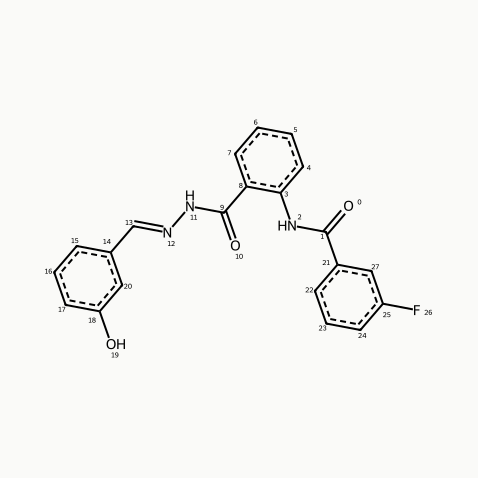 O=C(Nc1ccccc1C(=O)NN=Cc1cccc(O)c1)c1cccc(F)c1